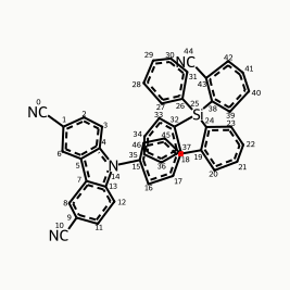 N#Cc1ccc2c(c1)c1cc(C#N)ccc1n2-c1ccc(-c2ccccc2[Si](c2ccccc2)(c2ccccc2)c2ccccc2C#N)cc1